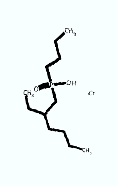 CCCCC(CC)CP(=O)(O)CCCC.[Cr]